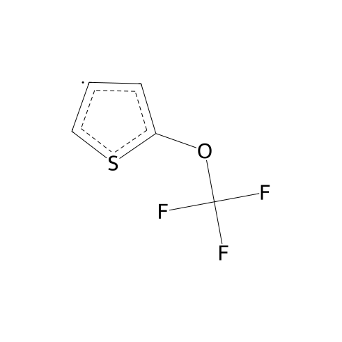 FC(F)(F)Oc1c[c]cs1